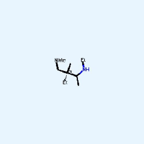 CCNC(C)[C@@](C)(CC)CNC